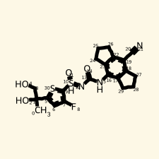 CC(O)(CO)c1cc(F)c(/[SH](=O)=N/C(=O)Nc2c3c(c(C#N)c4c2CCC4)CCC3)s1